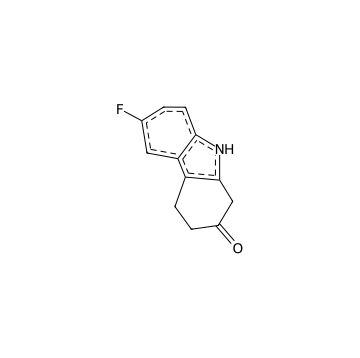 O=C1CCc2c([nH]c3ccc(F)cc23)C1